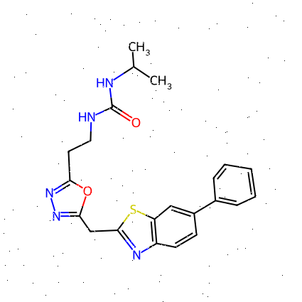 CC(C)NC(=O)NCCc1nnc(Cc2nc3ccc(-c4ccccc4)cc3s2)o1